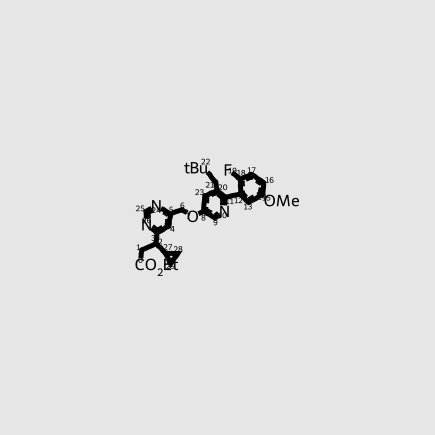 CCOC(=O)CC(c1cc(COc2cnc(-c3cc(OC)ccc3F)c(CC(C)(C)C)c2)ncn1)C1CC1